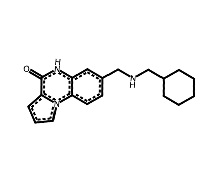 O=c1[nH]c2cc(CNCC3CCCCC3)ccc2n2cccc12